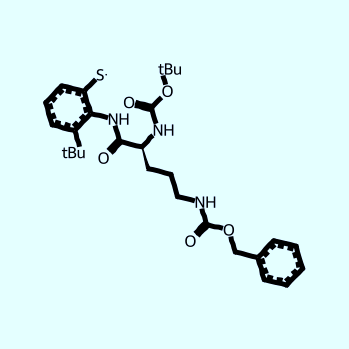 CC(C)(C)OC(=O)N[C@@H](CCCNC(=O)OCc1ccccc1)C(=O)Nc1c([S])cccc1C(C)(C)C